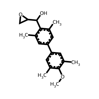 COc1c(C)cc(-c2cc(C)c(C(O)C3CO3)c(C)c2)cc1C